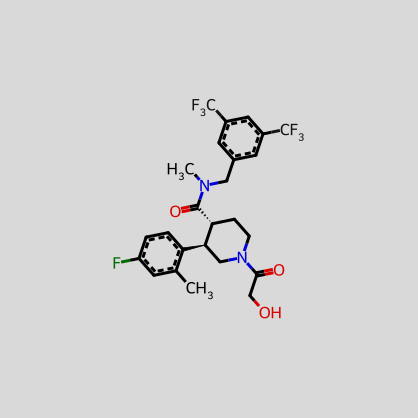 Cc1cc(F)ccc1[C@@H]1CN(C(=O)CO)CC[C@H]1C(=O)N(C)Cc1cc(C(F)(F)F)cc(C(F)(F)F)c1